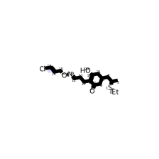 CCSC(C)CC1CC(=O)C(CCC=NOC/C=C/Cl)=C(O)C1